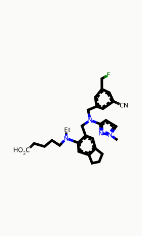 CCN(CCCCC(=O)O)c1cc2c(cc1CN(Cc1cc(C#N)cc(CF)c1)c1ccn(C)n1)CCC2